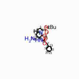 CC(C)(C)OC(=O)[C@@H]1CC[C@H]2C[C@@H](CN)[C@@H](NC(=O)OCc3ccccc3)C(=O)N21